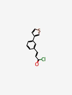 O=C(Cl)C=Cc1cccc(-c2ccsc2)c1